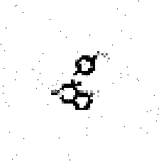 CN1Cc2ccccc2C(C)(Oc2ccc([N+](=O)[O-])cc2)C1.Cl